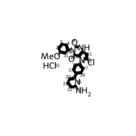 COc1cccc(-n2c(=O)[nH]c3cc(Cl)n(-c4ccc(-c5cccc(N)n5)cc4)c3c2=O)c1.Cl